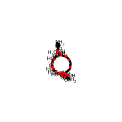 C[C@H]1/C=C/C=C/C=C/C=C\C=C/C=C/C=C/[C@H](O[C@@H]2OC[C@@H](O)[C@H](N)[C@@H]2O)C[C@@H]2O[C@](O)(C[C@@H](O)C[C@@H](O)C[C@@H](O)CC(=O)CCCC(O)CC(=O)O[C@@H]1[C@@H](N)C[C@H](C)[C@@H](O)CC(=O)c1ccc(N)cc1)C[C@H](O)[C@H]2C(=O)O